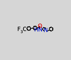 O=C(N[C@@H]1CCN(Cc2ccccc2)C1)c1ccc(-c2ccc(C(F)(F)F)cc2)cc1